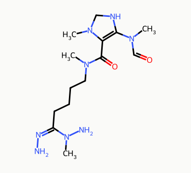 CN(C=O)C1=C(C(=O)N(C)CCCC/C(=N/N)N(C)N)N(C)CN1